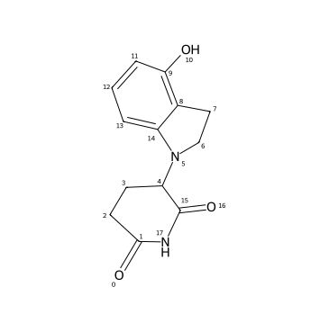 O=C1CCC(N2CCc3c(O)cccc32)C(=O)N1